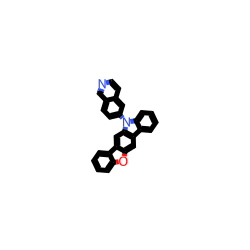 c1ccc2c(c1)oc1cc3c4ccccc4n(-c4ccc5cnccc5c4)c3cc12